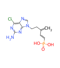 C=C(/C=C/P(=O)(O)O)CCn1cnc2c(Cl)nc(N)nc21